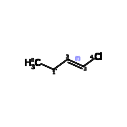 C[CH]/C=C/Cl